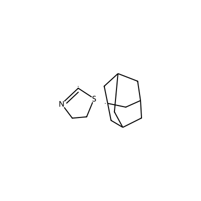 C1[C]2CC3CC1CC(C2)C3.[C]1=NCCS1